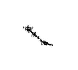 N#CC#Cc1ccc(C(=O)NCCOCCOCCNC(=O)CCCC[C@@H]2SC[C@@H]3NC(=O)N[C@@H]32)cc1